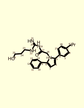 CC(C)c1ccc(-c2ccc(-c3ccccc3)n2CC(=O)NC(=N)NCCCO)cc1